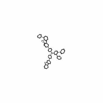 c1ccc(-c2ccc(N(c3ccc(-c4ccc5c(c4)sc4ccccc45)cc3)c3ccc(-c4ccc5oc6c(-c7ccccc7)cccc6c5c4)cc3)cc2-c2ccccc2)cc1